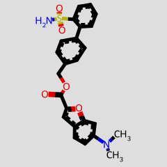 CN(C)c1ccc2cc(C(=O)OCc3ccc(-c4ccccc4S(N)(=O)=O)cc3)oc2c1